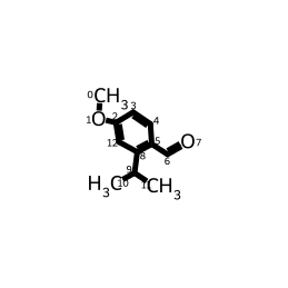 COc1ccc(C=O)c(C(C)C)c1